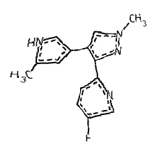 Cc1cc(-c2cn(C)nc2-c2ccc(F)cn2)c[nH]1